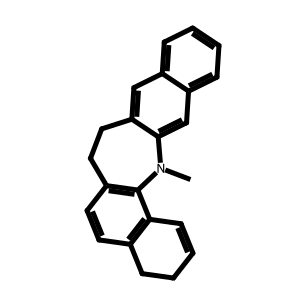 CN1c2cc3ccccc3cc2CCc2ccc3c(c21)C=CCC3